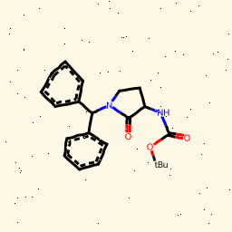 CC(C)(C)OC(=O)NC1CCN(C(c2ccccc2)c2ccccc2)C1=O